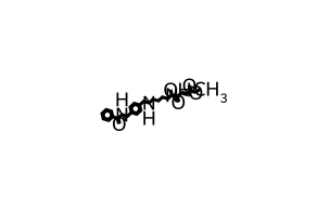 COC(=O)/C=C/C(=O)N(O)CCCCNCc1ccc(CNC(=O)c2ccccc2)cc1